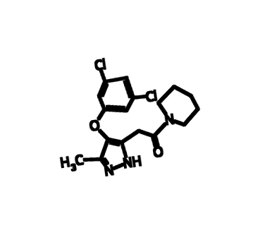 Cc1n[nH]c(CC(=O)N2CCCCC2)c1Oc1cc(Cl)cc(Cl)c1